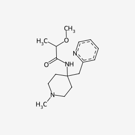 COC(C)C(=O)NC1(Cc2ccccn2)CCN(C)CC1